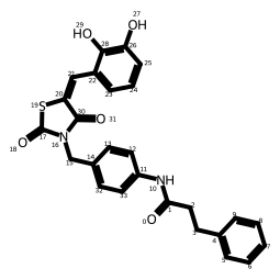 O=C(CCc1ccccc1)Nc1ccc(CN2C(=O)SC(=Cc3cccc(O)c3O)C2=O)cc1